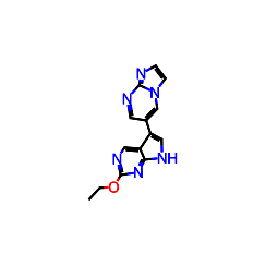 CCOc1ncc2c(-c3cnc4nccn4c3)c[nH]c2n1